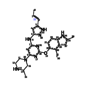 C/C=C/c1cc(Nc2cc(N3CCNC(C)C3)nc(Oc3ccc4[nH]c(C)cc4c3F)n2)n[nH]1